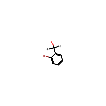 [2H]C([2H])(O)c1ccccc1Br